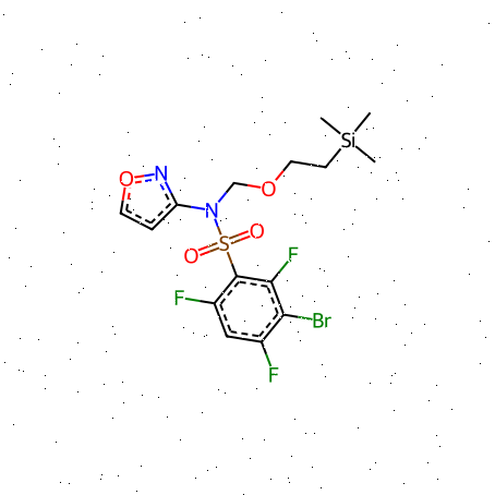 C[Si](C)(C)CCOCN(c1ccon1)S(=O)(=O)c1c(F)cc(F)c(Br)c1F